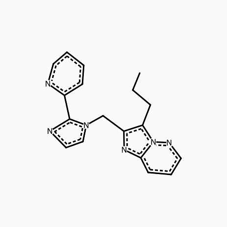 CCCc1c(Cn2ccnc2-c2ccccn2)nc2cccnn12